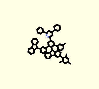 Cc1cccc(-c2cc(-c3cc(-c4ccccc4)cc(-c4ccccc4)n3)cc(-c3cccc(C4c5ccccc5-c5ccccc54)c3)c2C2c3ccccc3-c3cc(-c4c(C)cc(C)cc4C)ccc32)c1